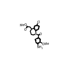 COC(=O)CC1CCCN(C(=O)c2ccc(N)c(OC)c2)c2ccc(Cl)cc21